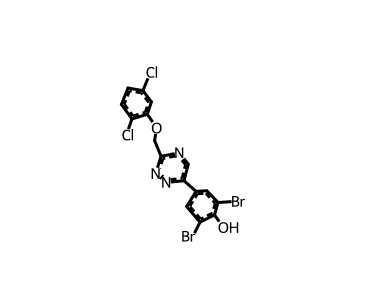 Oc1c(Br)cc(-c2cnc(COc3cc(Cl)ccc3Cl)nn2)cc1Br